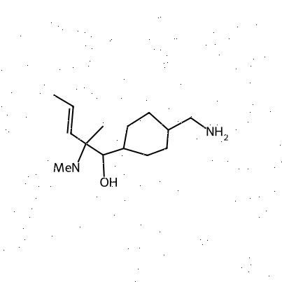 CC=CC(C)(NC)C(O)C1CCC(CN)CC1